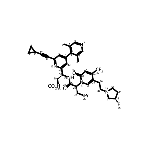 Cc1cncc(C)c1-c1cc(C#CC2CC2)nc([C@H](CC(=O)O)NC(=O)[C@H](CC(C)C)n2cc(CCN3CC[C@@H](F)C3)c(C(F)(F)F)cc2=O)c1